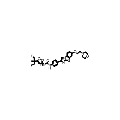 CC(CF)(CF)c1cc(NC(=O)Nc2ccc(-c3cn4c(n3)sc3cc(OCCN5CCOCC5)ccc34)cc2)no1